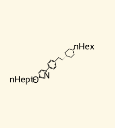 CCCCCCCOc1ccc(-c2ccc(CC[C@H]3CC[C@H](CCCCCC)CC3)cc2)nc1